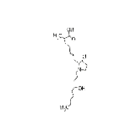 CCCCCC(O)CCCN1CCC(Cl)C1CC=CCCC(C)C(=O)O